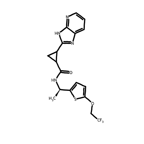 C[C@@H](NC(=O)C1CC1c1nc2cccnc2[nH]1)c1ccc(OCC(F)(F)F)s1